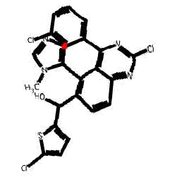 Cn1cncc1-c1c(C(O)c2ccc(Cl)s2)ccc2nc(Cl)nc(-c3cccc(Cl)c3)c12